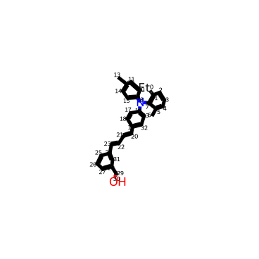 CCc1cccc(C)c1N(c1ccc(C)cc1)c1ccc(/C=C/C=C/c2cccc(CO)c2)cc1